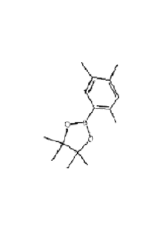 Cc1cc(C)c(B2OC(C)(C)C(C)(C)O2)cc1C